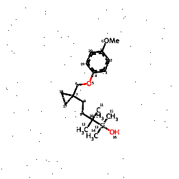 COc1ccc(OCC2(CCC(C)(C)[Si](C)(C)O)CC2)cc1